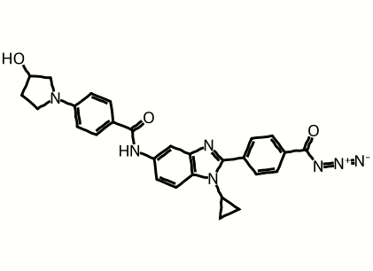 [N-]=[N+]=NC(=O)c1ccc(-c2nc3cc(NC(=O)c4ccc(N5CCC(O)C5)cc4)ccc3n2C2CC2)cc1